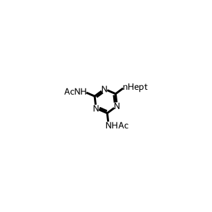 CCCCCCCc1nc(NC(C)=O)nc(NC(C)=O)n1